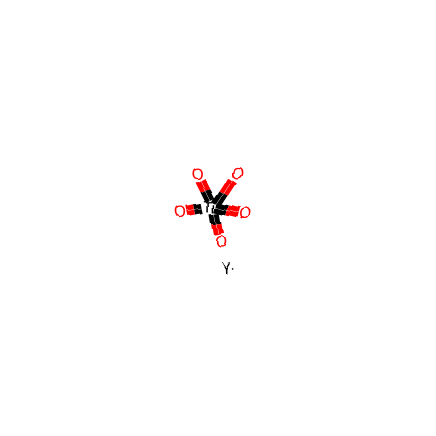 [O]=[Ti](=[O])(=[O])(=[O])=[O].[Y]